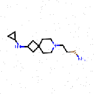 NSCCN1CCC2(CC1)CC(NC1CC1)C2